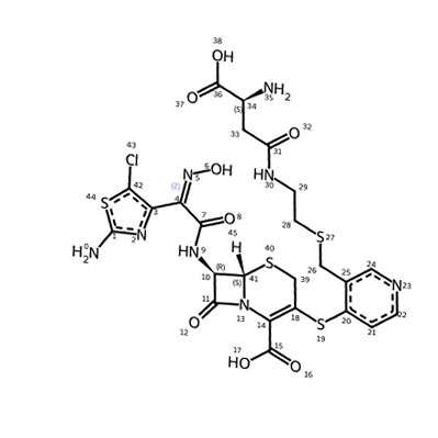 Nc1nc(/C(=N/O)C(=O)N[C@@H]2C(=O)N3C(C(=O)O)=C(Sc4ccncc4CSCCNC(=O)C[C@H](N)C(=O)O)CS[C@@H]23)c(Cl)s1